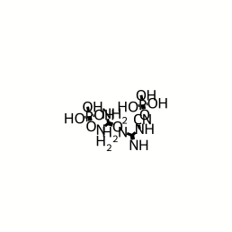 N#CNC(=N)N.NC(N)=O.O=P(O)(O)O.O=P(O)(O)O